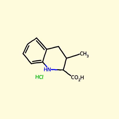 CC1Cc2ccccc2NC1C(=O)O.Cl